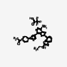 CCNc1nc2cccc(-c3cc4c(-c5cnn(C6CCN(C(C)=O)CC6)c5)ncc(N)c4o3)c2s1.O=C(O)C(F)(F)F